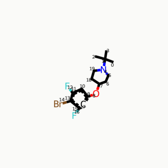 CC(C)(C)N1CCC(Oc2cc(F)c(Br)c(F)c2)CC1